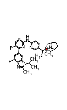 CCN1C2CCC1CN(C(C)c1ccc(Nc3ncc(F)c(-c4cc(F)c5nc(C)n(C(C)C)c5c4)n3)nc1)C2